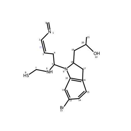 C=N/C=C\CC(NCS)N1c2cc(Br)ccc2CC1CC(C)O